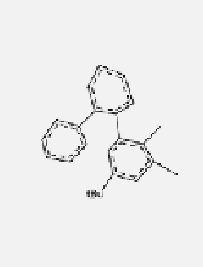 Cc1cc(C(C)(C)C)cc(-c2ccccc2-c2ccccc2)c1C